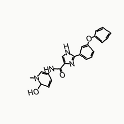 CN1C=C(NC(=O)c2c[nH]c(-c3cccc(Oc4ccccc4)c3)n2)C=CC1O